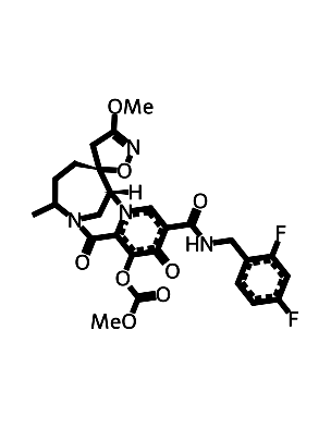 COC(=O)Oc1c2n(cc(C(=O)NCc3ccc(F)cc3F)c1=O)[C@@H]1CN(C2=O)C(C)CC[C@]12CC(OC)=NO2